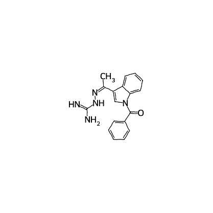 C/C(=N/NC(=N)N)c1cn(C(=O)c2ccccc2)c2ccccc12